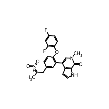 CC(Cc1ccc(Oc2ccc(F)cc2F)c(-c2cn(C)c(=O)c3[nH]ccc23)c1)[SH](=O)=O